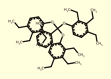 CCc1ccc(OC(Oc2ccc(CC)c(CC)c2CC)(Oc2ccc(CC)c(CC)c2CC)c2ccccc2O)c(CC)c1CC